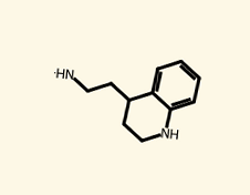 [NH]CCC1CCNc2ccccc21